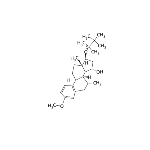 COc1ccc2c(c1)C[C@@H](C)[C@H]1[C@@H]3[C@@H](O)C[C@H](O[Si](C)(C)C(C)(C)C)[C@@]3(C)CC[C@H]21